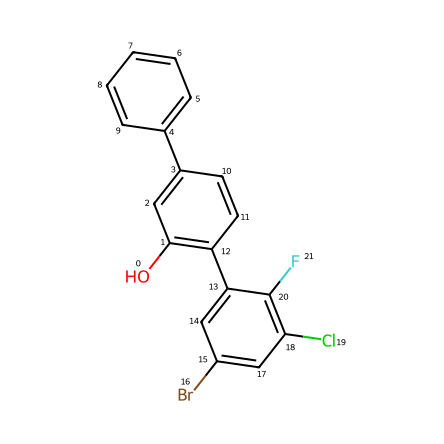 Oc1cc(-c2ccccc2)ccc1-c1cc(Br)cc(Cl)c1F